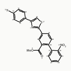 COC(=O)c1cc(-c2nc(-c3ccc(F)cc3)cs2)ccc1-c1ccccc1[N+](=O)[O-]